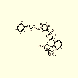 CC1CN(c2ncccc2C(=O)NS(=O)(=O)c2cccc(NCCOc3ccccc3)n2)C(C)(C)C1